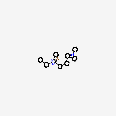 c1ccc(-c2cccc(-c3nc(-c4cccc(-c5cccc(-c6cccc7c6c6ccccc6n7-c6ccccc6)c5)c4)c4sc5ccccc5c4n3)c2)cc1